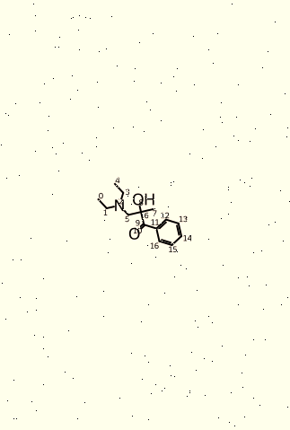 CCN(CC)CC(C)(O)C(=O)c1ccccc1